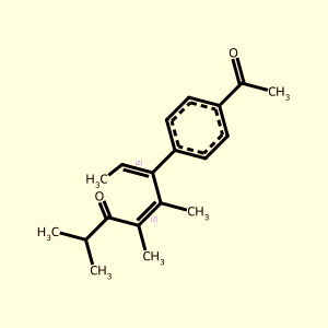 C/C=C(\C(C)=C(\C)C(=O)C(C)C)c1ccc(C(C)=O)cc1